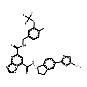 Cn1nnc(-c2ccc3c(c2)CC[C@@H]3NC(=O)c2cc(C(=O)NCc3ccc(F)c(OC(F)(F)F)c3)nc3ncnn23)n1